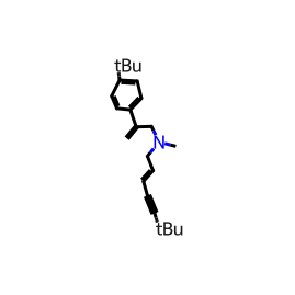 C=C(CN(C)CC=CC#CC(C)(C)C)c1ccc(C(C)(C)C)cc1